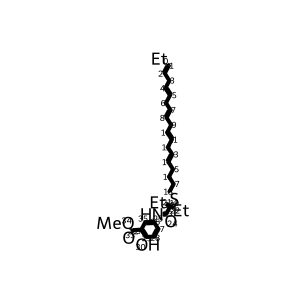 CCC=CCC=CCC=CCC=CCC=CCCCCSC(CC)(CC)C(=O)Nc1ccc(O)c(C(=O)OC)c1